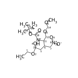 CCOC(=O)CC(C[N+](=O)[O-])C(COCOC)NC(=O)OC(C)(C)C